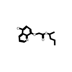 CCCC(C)OC(=O)COc1ccc(Cl)c2cccnc12